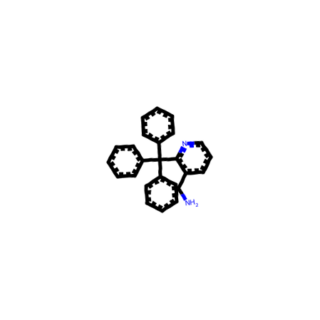 NCc1cccnc1C(c1ccccc1)(c1ccccc1)c1ccccc1